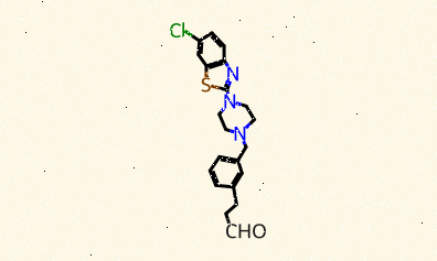 O=CCCc1cccc(CN2CCN(c3nc4ccc(Cl)cc4s3)CC2)c1